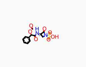 O=COC(C(=O)N[C@H]1CN(S(=O)(=O)O)C1=O)c1ccccc1